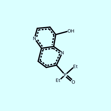 CCP(=O)(CC)c1ccc2nccc(O)c2n1